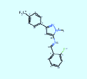 Cn1nc(-c2ccc(C(F)(F)F)cc2)cc1/N=C/c1ccccc1F